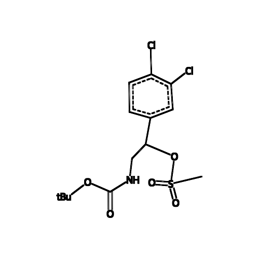 CC(C)(C)OC(=O)NCC(OS(C)(=O)=O)c1ccc(Cl)c(Cl)c1